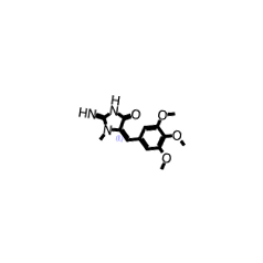 COc1cc(/C=C2\C(=O)NC(=N)N2C)cc(OC)c1OC